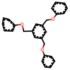 [c]1c(COc2ccccc2)cc(COc2ccccc2)cc1COc1ccccc1